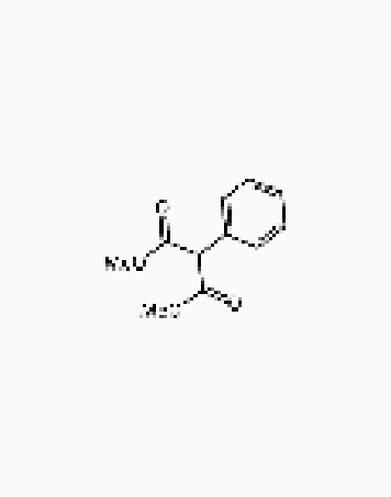 COC(=O)C(C(=O)OC)c1ccccc1